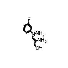 N/C(=C\N(N)c1cccc(F)c1)CO